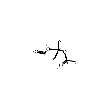 CC(=O)OC(C)(C)O[C]=O